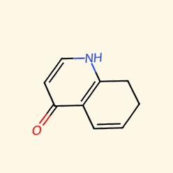 O=c1cc[nH]c2c1C=CCC2